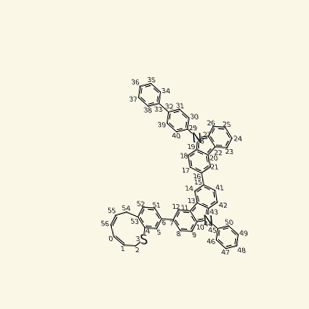 C1=C\CSc2cc(-c3ccc4c(c3)c3cc(-c5ccc6c(c5)c5ccccc5n6-c5ccc(-c6ccccc6)cc5)ccc3n4-c3ccccc3)ccc2C\C=C/1